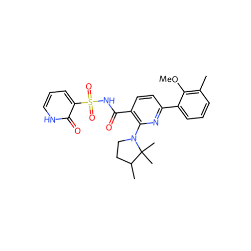 COc1c(C)cccc1-c1ccc(C(=O)NS(=O)(=O)c2ccc[nH]c2=O)c(N2CCC(C)C2(C)C)n1